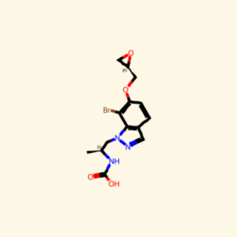 C[C@@H](Cn1ncc2ccc(OC[C@H]3CO3)c(Br)c21)NC(=O)O